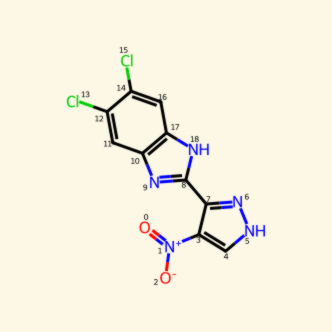 O=[N+]([O-])c1c[nH]nc1-c1nc2cc(Cl)c(Cl)cc2[nH]1